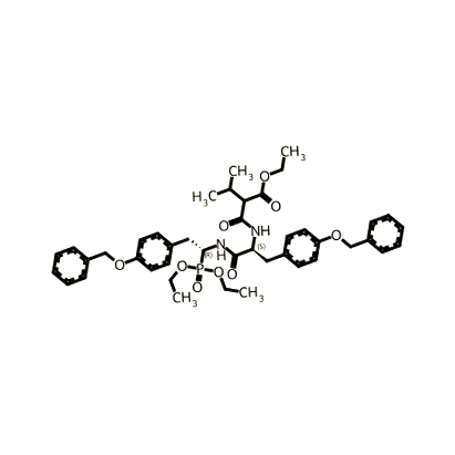 CCOC(=O)C(C(=O)N[C@@H](Cc1ccc(OCc2ccccc2)cc1)C(=O)N[C@@H](Cc1ccc(OCc2ccccc2)cc1)P(=O)(OCC)OCC)C(C)C